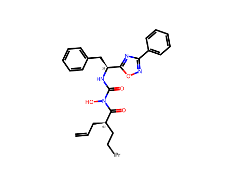 C=CC[C@H](CCC(C)C)C(=O)N(O)C(=O)N[C@@H](Cc1ccccc1)c1nc(-c2ccccc2)no1